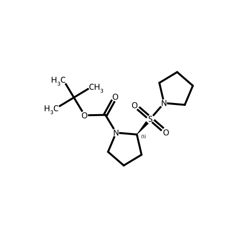 CC(C)(C)OC(=O)N1CCC[C@@H]1S(=O)(=O)N1CCCC1